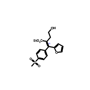 CCOC(=O)/C(CCO)=C(\c1ccc(S(C)(=O)=O)cc1)c1ccco1